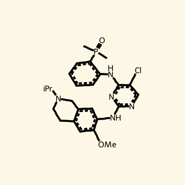 COc1cc2c(cc1Nc1ncc(Cl)c(Nc3ccccc3P(C)(C)=O)n1)CN(C(C)C)CC2